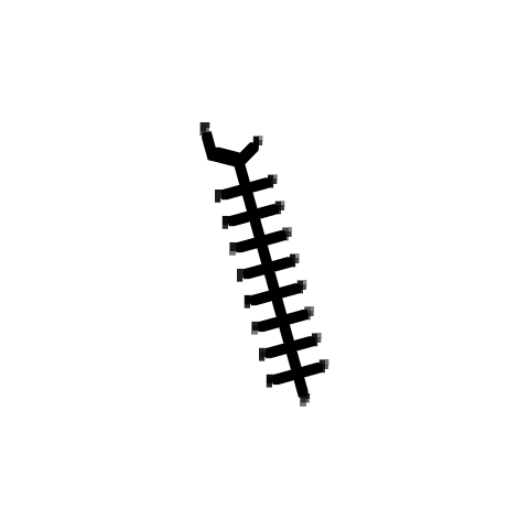 FC=C(F)C(F)(F)C(F)(F)C(F)(F)C(F)(F)C(F)(F)C(F)(F)C(F)(F)C(F)(F)F